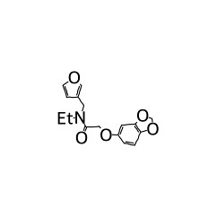 CCN(Cc1ccoc1)C(=O)COc1ccc2c(c1)OCO2